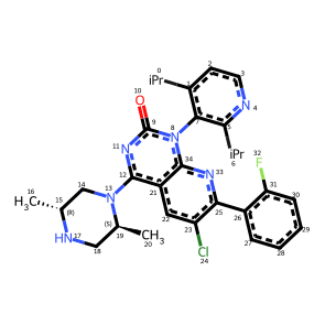 CC(C)c1ccnc(C(C)C)c1-n1c(=O)nc(N2C[C@@H](C)NC[C@@H]2C)c2cc(Cl)c(-c3ccccc3F)nc21